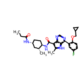 CCC(=O)N[C@@H]1CC[C@@H](NC(=O)c2c(C)[nH]c3c(-c4cc(F)ccc4OCC4CC4)ncnc23)[C@H](C)C1